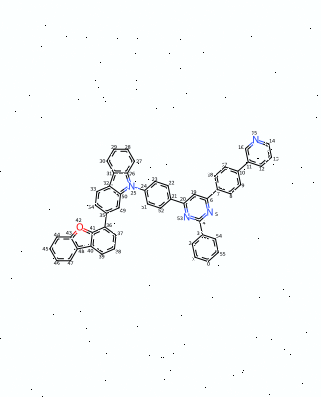 c1ccc(-c2nc(-c3ccc(-c4cccnc4)cc3)cc(-c3ccc(-n4c5ccccc5c5ccc(-c6cccc7c6oc6ccccc67)cc54)cc3)n2)cc1